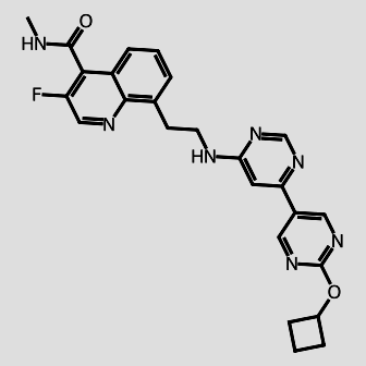 CNC(=O)c1c(F)cnc2c(CCNc3cc(-c4cnc(OC5CCC5)nc4)ncn3)cccc12